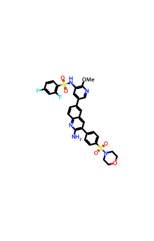 COc1ncc(-c2ccc3nc(N)c(-c4ccc(S(=O)(=O)N5CCOCC5)cc4)cc3c2)cc1NS(=O)(=O)c1ccc(F)cc1F